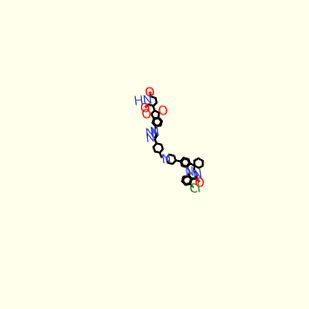 O=C1CCC(C2C(=O)c3ccc(-n4cc(C5CCC(CN6CCC(c7ccc8c(c7)-n7c(nc(=O)c9c(Cl)cccc97)C87CCCCC7)CC6)CC5)nn4)cc3C2=O)C(=O)N1